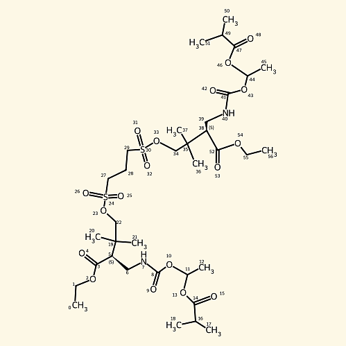 CCOC(=O)[C@H](CNC(=O)OC(C)OC(=O)C(C)C)C(C)(C)COS(=O)(=O)CCCS(=O)(=O)OCC(C)(C)[C@@H](CNC(=O)OC(C)OC(=O)C(C)C)C(=O)OCC